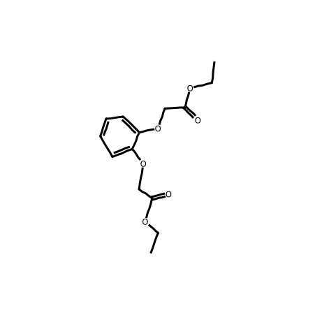 CCOC(=O)COc1ccccc1OCC(=O)OCC